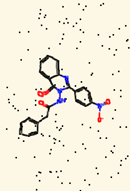 O=C(Cc1ccccc1)Nn1c(-c2ccc([N+](=O)[O-])cc2)nc2ccccc2c1=O